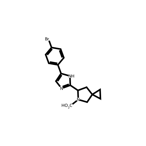 O=C(O)N1CC2(CC2)CC1c1ncc(-c2ccc(Br)cc2)[nH]1